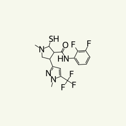 CN1CC(c2cc(C(F)(F)F)n(C)n2)C(C(=O)Nc2cccc(F)c2F)C1S